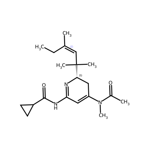 CC/C(C)=C\C(C)(C)[C@@H]1CC(N(C)C(C)=O)=CC(NC(=O)C2CC2)=N1